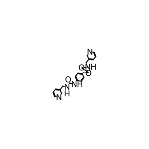 O=C(NCc1cccnc1)Nc1ccc(S(=O)(=O)NCc2cccnc2)cc1